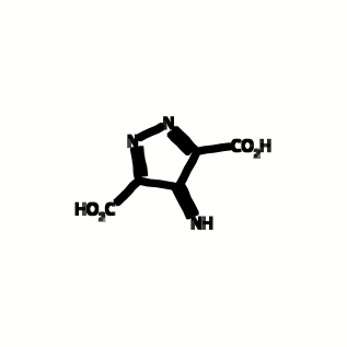 N=C1C(C(=O)O)=NN=C1C(=O)O